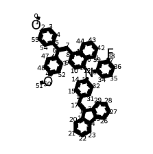 COc1ccc(C(=Cc2ccc(N(c3ccc(C=C4c5ccccc5-c5ccccc54)cc3)c3cccc(F)c3)c3ccccc23)c2ccc(OC)cc2)cc1